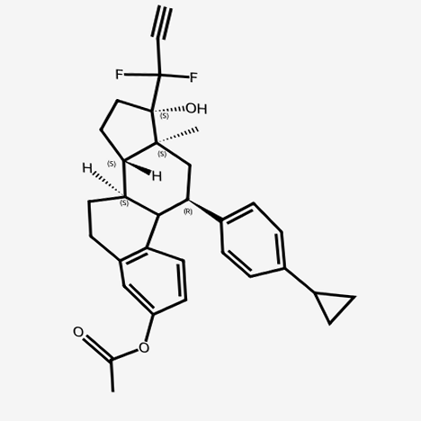 C#CC(F)(F)[C@]1(O)CC[C@H]2[C@@H]3CCc4cc(OC(C)=O)ccc4C3[C@H](c3ccc(C4CC4)cc3)C[C@@]21C